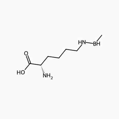 CBNCCCC[C@H](N)C(=O)O